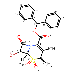 C=C1C(C)=C(C(=O)OC(c2ccccc2)c2ccccc2)N2C(=O)[C@H](Br)[C@H]2S1(=O)=O